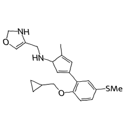 CSc1ccc(OCC2CC2)c(C2=CC(NCC3=COCN3)C(C)=C2)c1